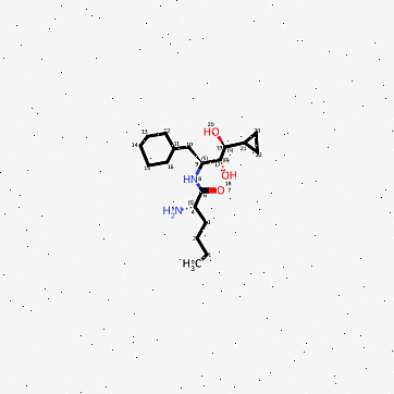 CCCC[C@H](N)C(=O)N[C@@H](CC1CCCCC1)[C@@H](O)[C@@H](O)C1CC1